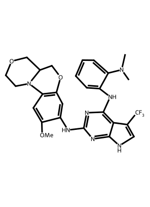 COc1cc2c(cc1Nc1nc(Nc3ccccc3N(C)C)c3c(C(F)(F)F)c[nH]c3n1)OCC1COCCN21